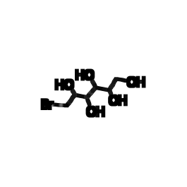 OCC(O)C(O)C(O)C(O)CBr